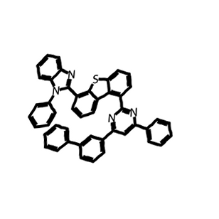 c1ccc(-c2cccc(-c3cc(-c4ccccc4)nc(-c4cccc5sc6c(-c7nc8ccccc8n7-c7ccccc7)cccc6c45)n3)c2)cc1